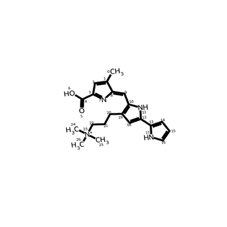 CC1=CC(C(=O)O)=N/C1=C\c1[nH]c(-c2ccc[nH]2)cc1CCC[N+](C)(C)C